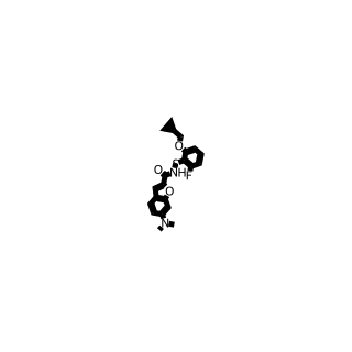 CN(C)c1ccc2cc(C(=O)NSc3c(F)cccc3OCC3CC3)oc2c1